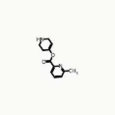 Cc1cccc(C(=O)OC2=CCNCC2)n1